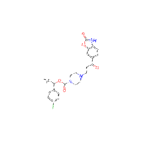 CC(OC(=O)N1CCN(CCC(=O)c2ccc3[nH]c(=O)oc3c2)CC1)c1ccc(F)cc1